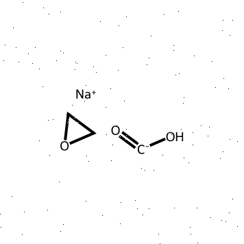 C1CO1.O=[C-]O.[Na+]